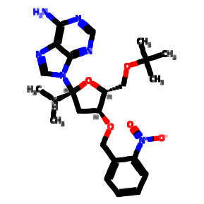 C[SiH](C)[C@]1(n2cnc3c(N)ncnc32)C[C@H](OCc2ccccc2[N+](=O)[O-])[C@@H](COC(C)(C)C)O1